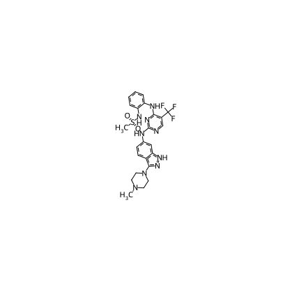 CN1CCN(c2n[nH]c3cc(Nc4ncc(C(F)(F)F)c(Nc5ccccc5NS(C)(=O)=O)n4)ccc23)CC1